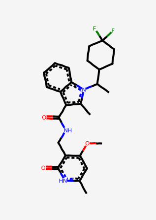 COc1cc(C)[nH]c(=O)c1CNC(=O)c1c(C)n(C(C)C2CCC(F)(F)CC2)c2ccccc12